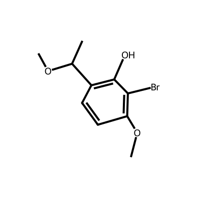 COc1ccc(C(C)OC)c(O)c1Br